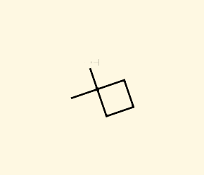 CC1(O)[CH]CC1